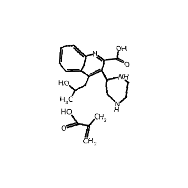 C=C(C)C(=O)O.CC(O)Cc1c(C2CNCCN2)c(C(=O)O)nc2ccccc12